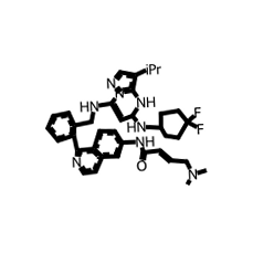 CC(C)c1cnn2c1NC(NC1CCC(F)(F)CC1)C=C2NCc1ccccc1-c1nccc2cc(NC(=O)/C=C/CN(C)C)ccc12